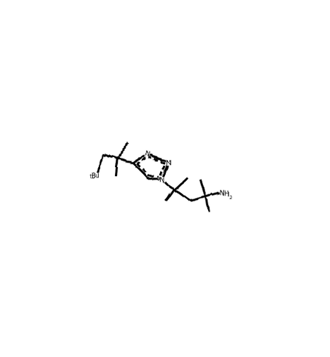 CC(C)(C)CC(C)(C)c1cn(C(C)(C)CC(C)(C)N)nn1